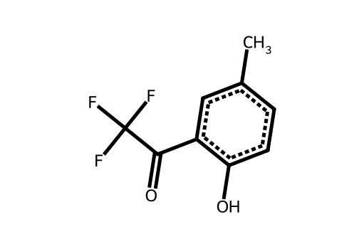 Cc1ccc(O)c(C(=O)C(F)(F)F)c1